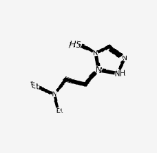 CCN(CC)CCN1NN=CN1S